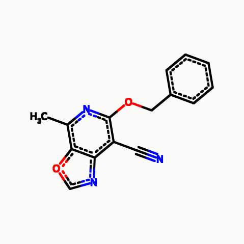 Cc1nc(OCc2ccccc2)c(C#N)c2ncoc12